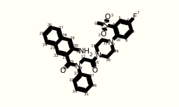 CS(=O)(=O)c1cc(F)ccc1N1CCN(C(=O)CN(C(=O)c2cc3ccccc3cc2N)c2ccccc2)CC1